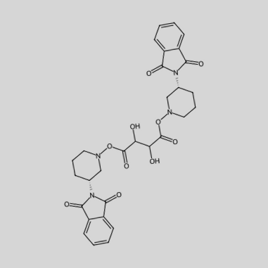 O=C(ON1CCC[C@@H](N2C(=O)c3ccccc3C2=O)C1)C(O)C(O)C(=O)ON1CCC[C@@H](N2C(=O)c3ccccc3C2=O)C1